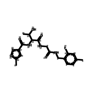 Cc1ccc(CNC(=O)CNC(=O)C(NC(=O)c2cc(C)on2)C(C)O)c(F)c1